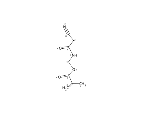 C=C(C)C(=O)OCNC(=O)CC#N